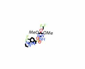 COc1nc(NS(=O)(=O)c2c[nH]c3c(-c4ncccn4)c(C(F)F)ccc23)nc(OC)c1OCC(F)F